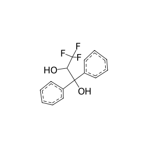 OC(C(F)(F)F)C(O)(c1ccccc1)c1ccccc1